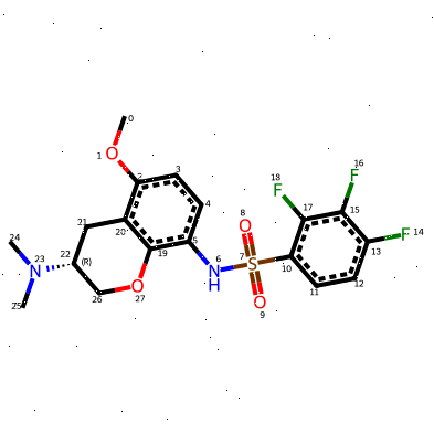 COc1ccc(NS(=O)(=O)c2ccc(F)c(F)c2F)c2c1C[C@@H](N(C)C)CO2